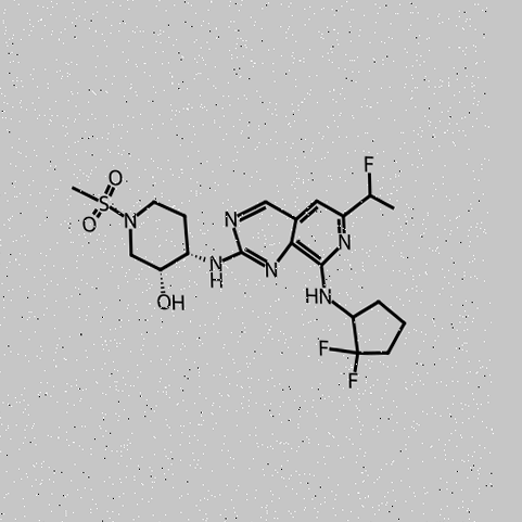 CC(F)c1cc2cnc(N[C@H]3CCN(S(C)(=O)=O)C[C@H]3O)nc2c(NC2CCCC2(F)F)n1